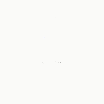 CCC(C)/C(CN(c1ccccc1)C(C)(C)C)=C(/C)ONC1CCc2c(F)cc(F)cc2N1C(C)NC